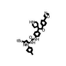 Cc1ccc(-n2nc(C(C)(C)C)cc2NC(=O)Nc2ccc(C(C(=O)c3ccc(-c4cnco4)cc3)C3CCNCC3)cc2)cc1